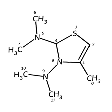 CC1=[C]SC(N(C)C)N1N(C)C